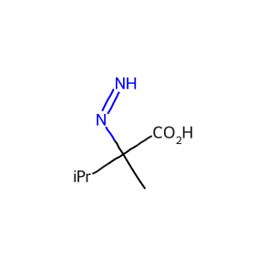 CC(C)C(C)(N=N)C(=O)O